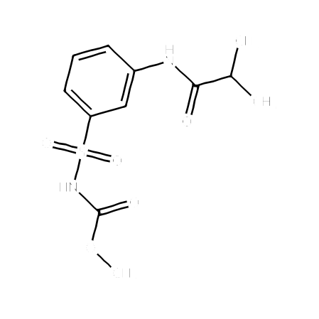 COC(=O)NS(=O)(=O)c1cccc(NC(=O)C(C)C)c1